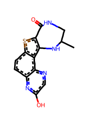 CC1CNC(=O)c2sc3ccc4nc(O)cnc4c3c2N1